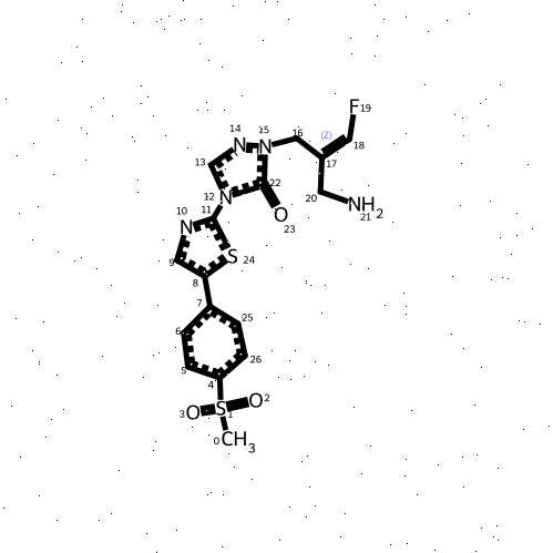 CS(=O)(=O)c1ccc(-c2cnc(-n3cnn(C/C(=C\F)CN)c3=O)s2)cc1